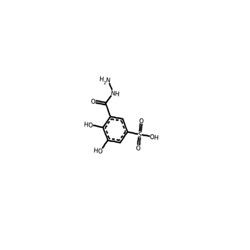 NNC(=O)c1cc(S(=O)(=O)O)cc(O)c1O